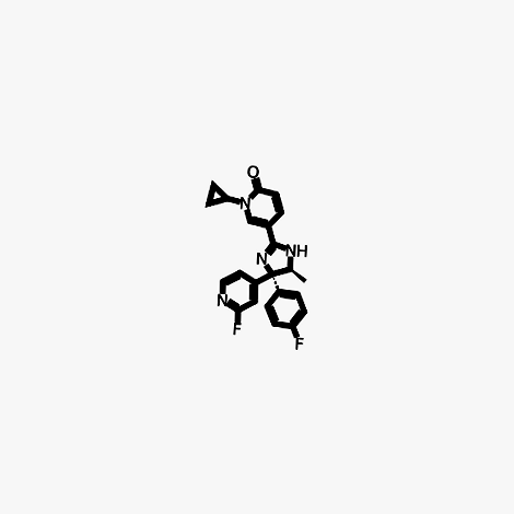 C[C@@H]1NC(c2ccc(=O)n(C3CC3)c2)=N[C@]1(c1ccc(F)cc1)c1ccnc(F)c1